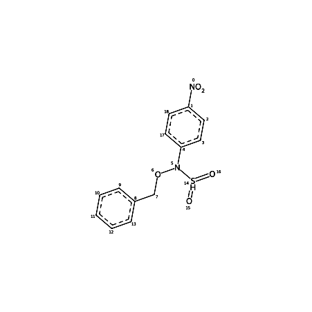 O=[N+]([O-])c1ccc(N(OCc2ccccc2)[SH](=O)=O)cc1